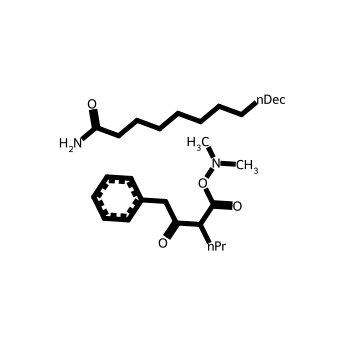 CCCC(C(=O)Cc1ccccc1)C(=O)ON(C)C.CCCCCCCCCCCCCCCCCC(N)=O